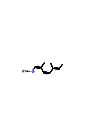 C/C=C(C)/C=C\C(C)=C/NC(C)C